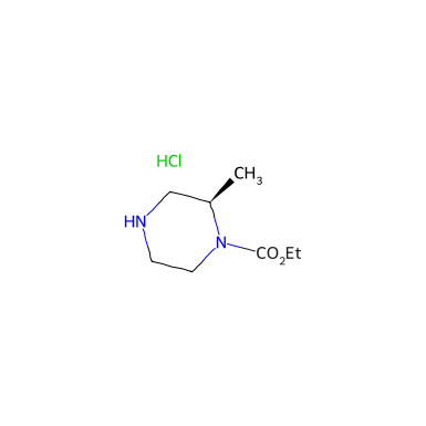 CCOC(=O)N1CCNC[C@H]1C.Cl